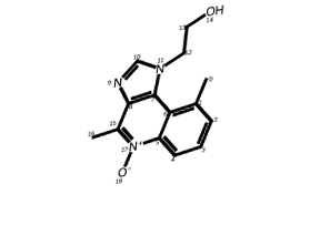 Cc1cccc2c1c1c(ncn1CCO)c(C)[n+]2[O-]